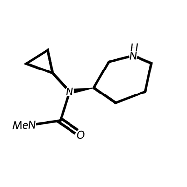 CNC(=O)N(C1CC1)[C@@H]1CCCNC1